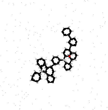 c1ccc(-c2cccc(-c3ccc(N(c4cccc(-c5cc6ccccc6c6c5c5ccccc5n6-c5ccccc5)c4)c4ccccc4-c4ccccc4)cc3)c2)cc1